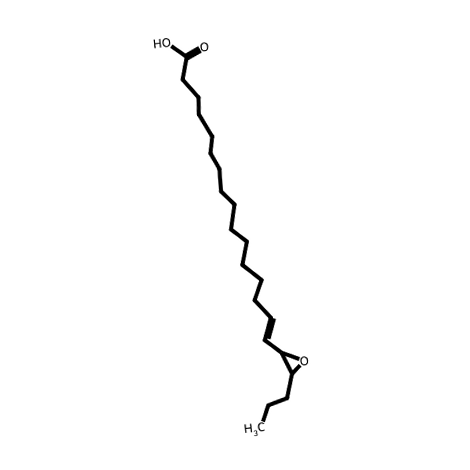 CCCC1OC1C=CCCCCCCCCCCCCCC(=O)O